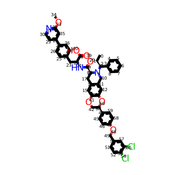 CC[C@@H](c1ccccc1)N1Cc2cc3c(cc2C[C@H]1C(=O)NC(Cc1ccc(-c2ccnc(OC)c2)cc1)C(=O)O)OC[C@H](c1ccc(OCc2ccc(Cl)c(Cl)c2)cc1)O3